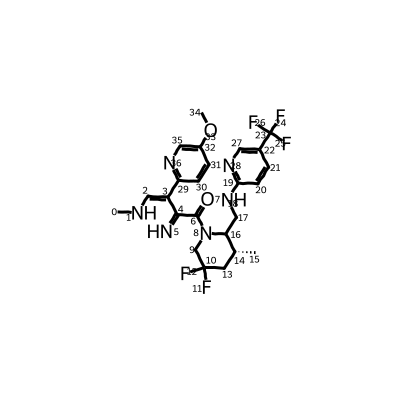 CN/C=C(\C(=N)C(=O)N1CC(F)(F)C[C@@H](C)C1CNc1ccc(C(F)(F)F)cn1)c1ccc(OC)cn1